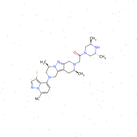 C[C@@H]1CN(C(=O)CN2Cc3nn4c(c3C[C@@H]2C)CN(c2ccc(C#N)n3ncc(F)c23)C[C@H]4C)C[C@@H](C)N1